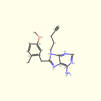 C#CCCCn1c(Cc2cc(OC)ccc2C)nc2c(N)ncnc21